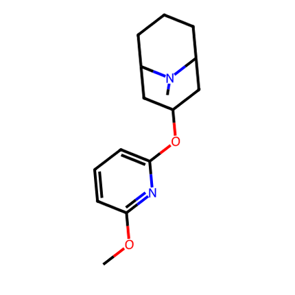 COc1cccc(OC2CC3CCCC(C2)N3C)n1